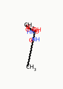 CCC=CCC=CCC=CCC=CCC=CCCCC(=O)NCCCC[C@H](NC(=O)C=CC(=O)OCC)C(=O)O